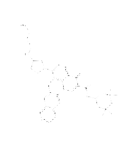 CC1(C)CC(NC(=O)c2cn3c4c(c(N5CCC(NOCOC(C)(C)C)C5)ccc4c2=O)Oc2cc4ccccc4cc2-3)CC(C)(C)N1